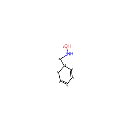 ONCC1C=CC=CC1